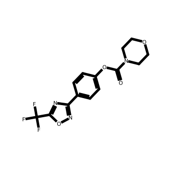 O=C(Oc1ccc(-c2noc(C(F)(F)F)n2)cc1)N1CCOCC1